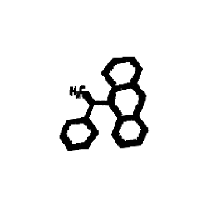 C=C(c1ccccc1)c1c2ccccc2cc2ccccc12